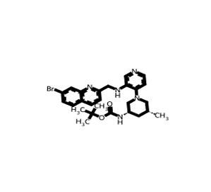 C[C@@H]1C[C@H](NC(=O)OC(C)(C)C)CN(c2ccncc2NCc2ccc3ccc(Br)cc3n2)C1